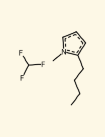 CCCCc1cccn1C.FC(F)F